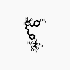 COC(=O)C(C)(C)Oc1ccc(CCCc2n[nH]c(=O)n2Cc2ccc(C)cc2)cc1